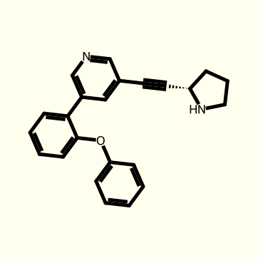 C(#C[C@@H]1CCCN1)c1cncc(-c2ccccc2Oc2ccccc2)c1